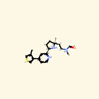 Cc1cscc1-c1ccnc([C@H]2CC[C@@](C)(CCN(C)C=O)N2)c1